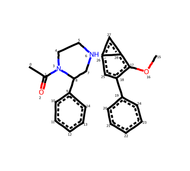 CC(=O)N1CCNCC1c1ccccc1.COc1c(-c2ccccc2)cc2cc1-2